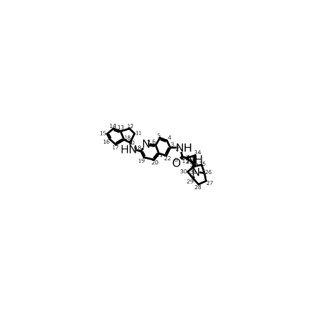 O=C(Nc1ccc2nc(N[C@@H]3CCc4ccccc43)ccc2c1)NC1CC2CCC(C1)N2C1CC1